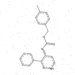 Cc1ccc(COC(=O)N=c2cc[nH]nc2-c2ccccc2)cc1